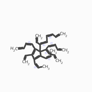 C=C/C=C\C=C(/C=C)C1(C(/C=C\C=C)=C/C=C)C(/C=C\C=C)=C(C=C)C(/C=C\C)=C1/C=C\C